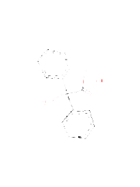 O.O=C(O)C(O)(c1ccccc1)c1ccccc1